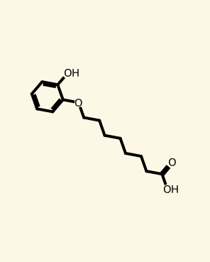 O=C(O)CCCCCCCOc1ccccc1O